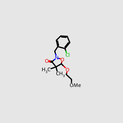 COCCOC1ON(Cc2ccccc2Cl)C(=O)C1(C)C